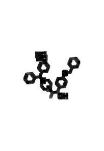 CC(C(O)c1ccc(OCc2ccccc2)cc1)N1CCN(C(c2ccccc2)c2ccccc2)CC1.Cl.Cl